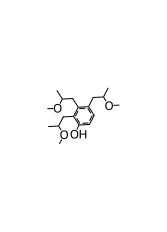 COC(C)Cc1ccc(O)c(CC(C)OC)c1CC(C)OC